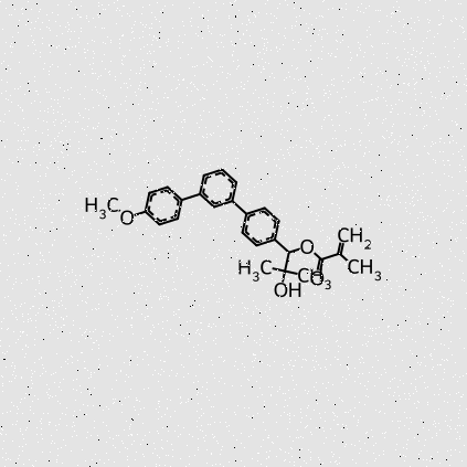 C=C(C)C(=O)OC(c1ccc(-c2cccc(-c3ccc(OC)cc3)c2)cc1)C(C)(C)O